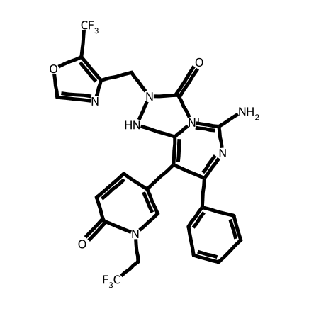 Nc1nc(-c2ccccc2)c(-c2ccc(=O)n(CC(F)(F)F)c2)c2[nH]n(Cc3ncoc3C(F)(F)F)c(=O)[n+]12